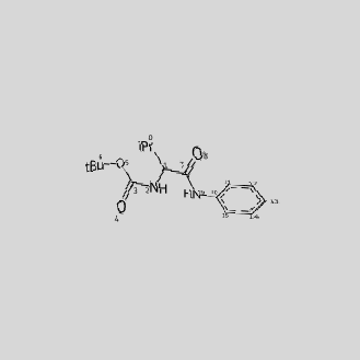 CC(C)C(NC(=O)OC(C)(C)C)C(=O)Nc1ccccc1